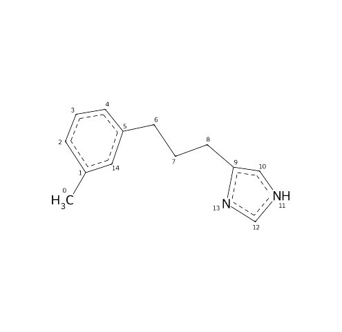 Cc1cccc(CCCc2c[nH]cn2)c1